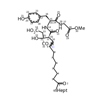 CCCCCCCC(=O)CCCCCC/C=C/[C@H](C(=O)N[C@@H](Cc1ccc(O)cc1)C(=O)NCC(=O)OC)[C@@](O)(CC(=O)O)C(=O)O